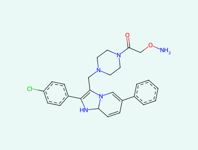 NOCC(=O)N1CCN(CC2=C(c3ccc(Cl)cc3)NC3C=CC(c4ccccc4)=CN23)CC1